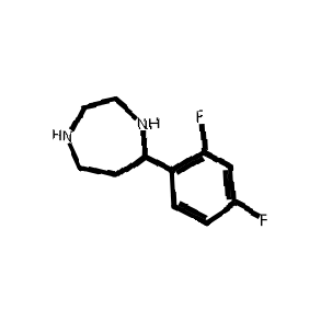 Fc1ccc(C2CCNCCN2)c(F)c1